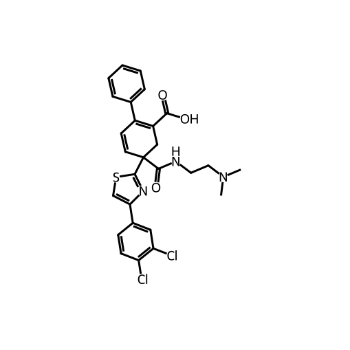 CN(C)CCNC(=O)C1(c2nc(-c3ccc(Cl)c(Cl)c3)cs2)C=CC(c2ccccc2)=C(C(=O)O)C1